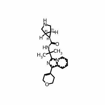 CC(C)(NC(=O)[C@H]1[C@@H]2CNC[C@@H]21)c1nc(C2=CCOCC2)c2ccccn12